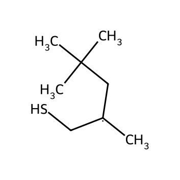 C[C](CS)CC(C)(C)C